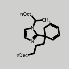 CCCCCCCCCCCCCC1(c2nccn2C(C)CCCCCCCC)C=CC=CC1